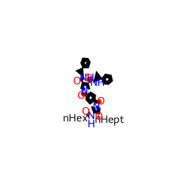 CCCCCCCO[C@H]1CN(C(=O)c2ccc(C(=O)N3C[C@@H](C(=O)N[C@H]4C[C@@H]4c4ccccc4)[C@H](C(=O)N[C@H]4C[C@@H]4c4ccccc4)C3)cc2)C[C@@H]1NC(=O)CCCCCC